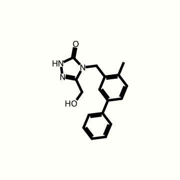 Cc1ccc(-c2ccccc2)cc1Cn1c(CO)n[nH]c1=O